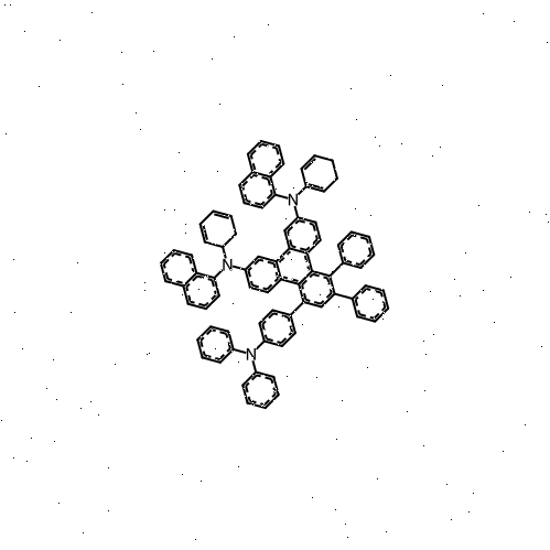 C1=CCC(N(c2ccc3c(c2)c2cc(N(C4=CCCC=C4)c4cccc5ccccc45)ccc2c2c(-c4ccccc4)c(-c4ccccc4)cc(-c4ccc(N(c5ccccc5)c5ccccc5)cc4)c32)c2cccc3ccccc23)C=C1